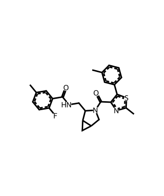 Cc1cccc(-c2sc(C)nc2C(=O)N2CC3CC3C2CNC(=O)c2cc(C)ccc2F)c1